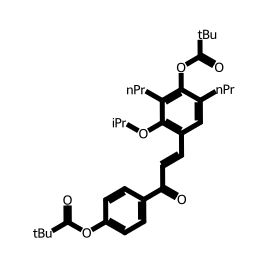 CCCc1cc(C=CC(=O)c2ccc(OC(=O)C(C)(C)C)cc2)c(OC(C)C)c(CCC)c1OC(=O)C(C)(C)C